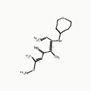 C=N/C(NC1CCOCC1)=C(/C)C(=N)/C=C(\C)ON